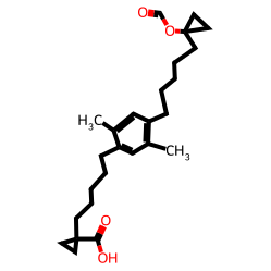 Cc1cc(CCCCCC2(C(=O)O)CC2)c(C)cc1CCCCCC1(OC=O)CC1